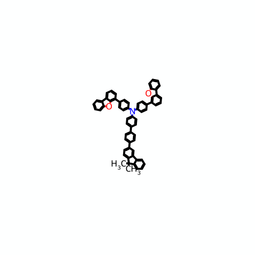 CC1(C)c2ccccc2-c2cc(-c3ccc(-c4ccc(N(c5ccc(-c6cccc7c6oc6ccccc67)cc5)c5ccc(-c6cccc7c6oc6ccccc67)cc5)cc4)cc3)ccc21